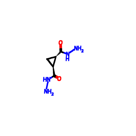 NNC(=O)[C@H]1C[C@@H]1C(=O)NN